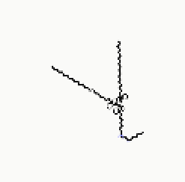 CCCCC/C=C\C/C=C\CCCCCCCC(=O)O[C@@H](COC(=O)CCCCCCCCCCCCCCCCCCC)COC(=O)CCCCCCCCCCCCCCCCCCCCCCC